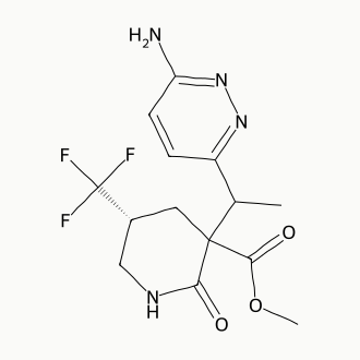 COC(=O)C1(C(C)c2ccc(N)nn2)C[C@@H](C(F)(F)F)CNC1=O